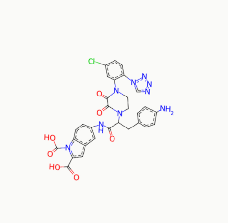 Nc1ccc(CC(C(=O)Nc2ccc3c(c2)cc(C(=O)O)n3C(=O)O)N2CCN(c3cc(Cl)ccc3-n3cnnn3)C(=O)C2=O)cc1